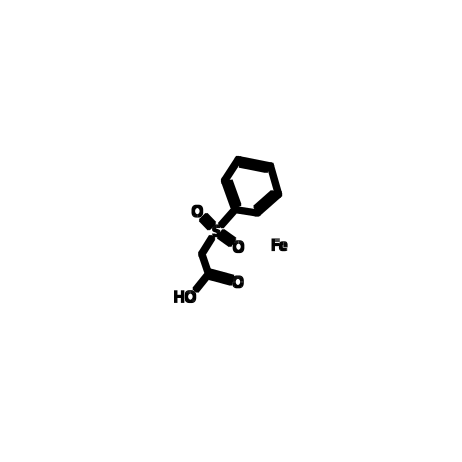 O=C(O)CS(=O)(=O)c1ccccc1.[Fe]